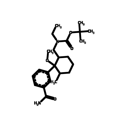 CCN(CC1CCCC(C)C1(OC)c1cccc(C(N)=O)c1)C(=O)OC(C)(C)C